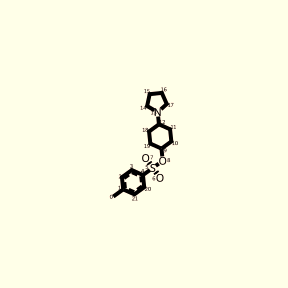 Cc1ccc(S(=O)(=O)OC2CCC(N3CCCC3)CC2)cc1